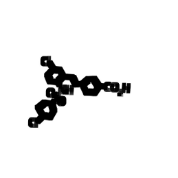 O=C(O)c1ccc(C=Cc2cc(Cl)ccc2NS(=O)(=O)c2ccc(Cl)cc2)cc1